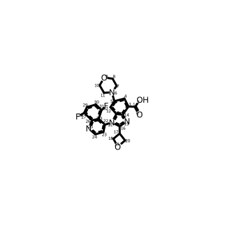 O=C(O)c1cc(N2CCOCC2)cc2c1nc(C1COC1)n2-c1ccnc2c(F)ccc(F)c12